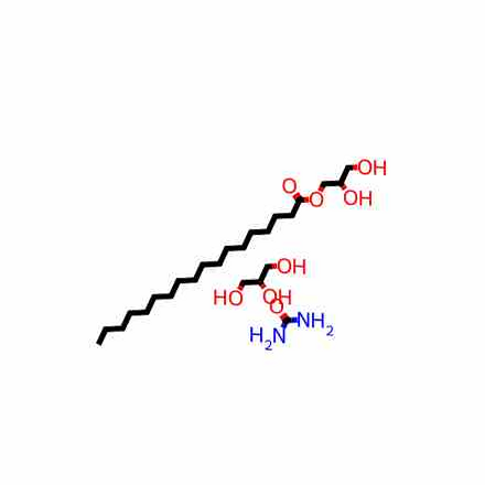 CCCCCCCCCCCCCCCCCC(=O)OCC(O)CO.NC(N)=O.OCC(O)CO